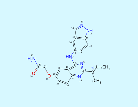 C/C=C(\C)c1nc(Nc2ccc3[nH]ncc3c2)c2cc(OCC(N)=O)ccc2n1